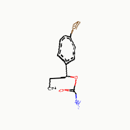 N#CCC(OC(N)=O)c1ccc(Br)cc1